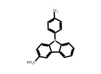 CCOC(=O)c1ccc2c(c1)c1ccccc1n2-c1ccc(C(F)(F)F)cc1